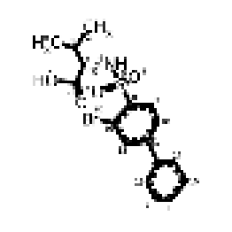 CC(C)[C@H](NS(=O)(=O)c1ccc(-c2ccccc2)cc1Br)C(=O)O